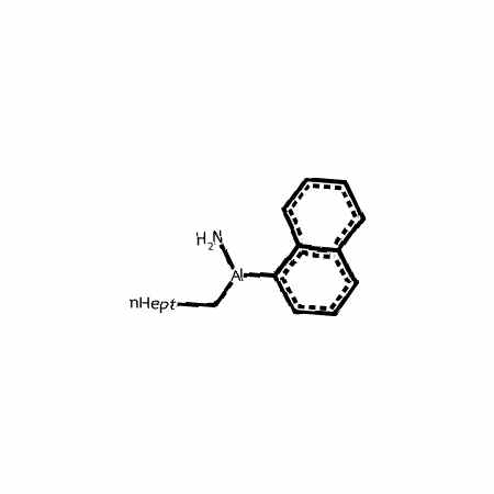 CCCCCCC[CH2][Al]([NH2])[c]1cccc2ccccc12